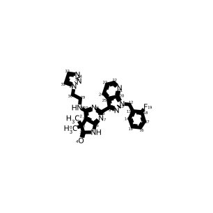 CC1(C)C(=O)Nc2nc(-c3nn(Cc4ccccc4F)c4ncccc34)nc(NCCn3ccnn3)c21